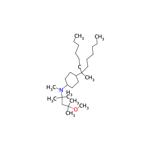 CCCCCCC(C)(CCCCCC)C1CCC(N(C)C(C)(C)CC(C)(C)OC)CC1